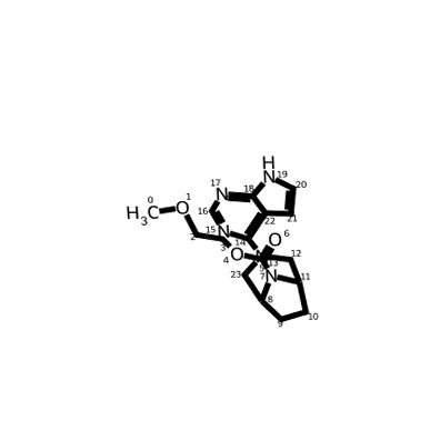 COCCOC(=O)N1C2CCC1CN(c1ncnc3[nH]ccc13)C2